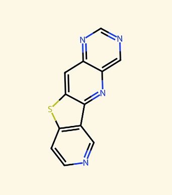 c1cc2sc3cc4ncncc4nc3c2cn1